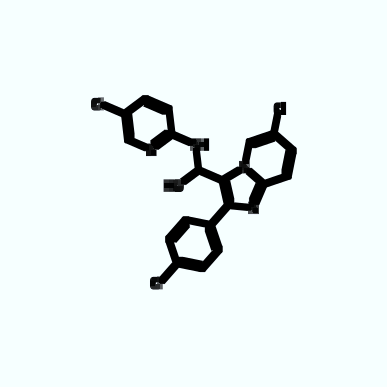 OC(Nc1ccc(Cl)cn1)c1c(-c2ccc(Cl)cc2)nc2ccc(Cl)cn12